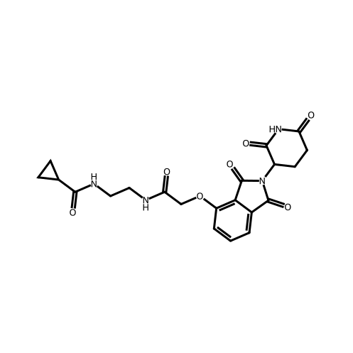 O=C(COc1cccc2c1C(=O)N(C1CCC(=O)NC1=O)C2=O)NCCNC(=O)C1CC1